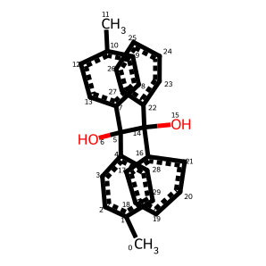 Cc1ccc(C(O)(c2ccc(C)cc2)C(O)(c2ccccc2)c2ccccc2)cc1